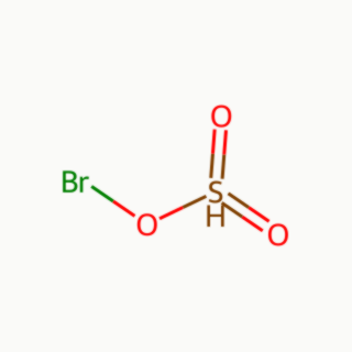 O=[SH](=O)OBr